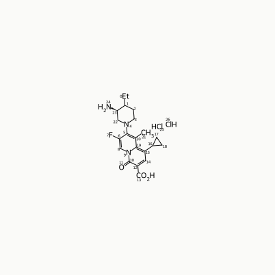 CCC1CCN(c2c(F)cn3c(=O)c(C(=O)O)cc(C4CC4)c3c2C)C[C@H]1N.Cl.Cl